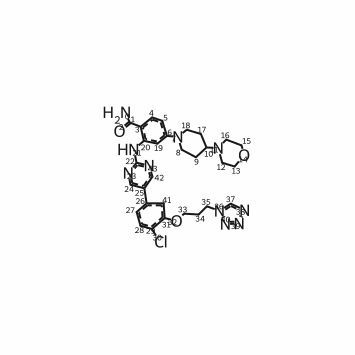 NC(=O)c1ccc(N2CCC(N3CCOCC3)CC2)cc1Nc1ncc(-c2ccc(Cl)c(OCCCn3cnnn3)c2)cn1